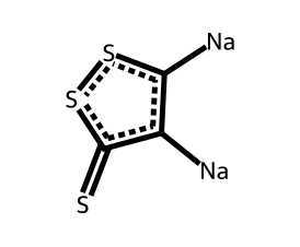 [Na][c]1ssc(=S)[c]1[Na]